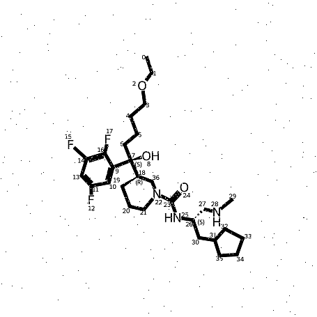 CCOCCCC[C@@](O)(c1cc(F)cc(F)c1F)[C@@H]1CCCN(C(=O)N[C@H](CNC)CC2CCCC2)C1